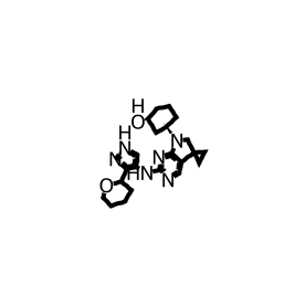 O[C@@H]1CCC[C@@H](N2CC3(CC3)c3cnc(Nc4c[nH]nc4C4CCCCO4)nc32)C1